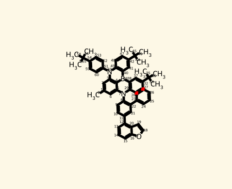 Cc1cc2c3c(c1)N(c1ccc(-c4cccc5occc45)cc1-c1ccccc1)c1ccc(C(C)(C)C)cc1B3c1cc(C(C)(C)C)ccc1N2c1ccc(C(C)(C)C)cc1